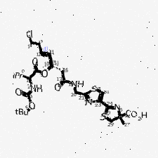 CC(C)C(NC(=O)OC(C)(C)C)C(=O)O[C@H](/C=C/CCCl)CC(=O)NCc1nc(C2=NC(C)(C(=O)O)CS2)cs1